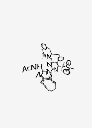 CC(=O)Nc1nc2ccccc2n1-c1nc2c(c(C(C)(C)S(C)(=O)=O)n1)OCC1COC[C@@H](C)N21